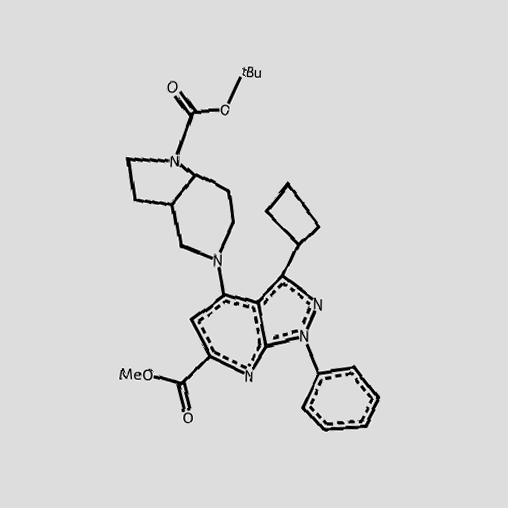 COC(=O)c1cc(N2CCC3C(CCN3C(=O)OC(C)(C)C)C2)c2c(C3CCC3)nn(-c3ccccc3)c2n1